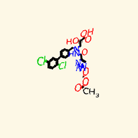 CC(=O)OCOn1cc(C(=O)NN(Cc2ccc(-c3cc(Cl)ccc3Cl)cc2)C[C@@H](O)C(=O)O)nn1